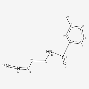 Cc1cccc(C(=O)NCCN=[N+]=[N-])c1